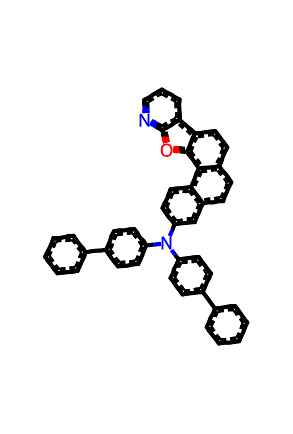 c1ccc(-c2ccc(N(c3ccc(-c4ccccc4)cc3)c3ccc4c(ccc5ccc6c7cccnc7oc6c54)c3)cc2)cc1